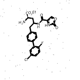 CCOC(=O)[C@H](N)CC(Cc1ccc(-c2cc(Cl)ccc2F)cc1)NC(=O)c1coc(=O)[nH]1